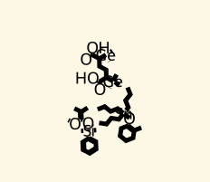 CCC[CH2][Sn]([CH2]CCC)([CH2]CCC)[O]C1=C(C)CCCC1.COC(O[Si](C)(C)c1ccccc1)=C(C)C.[CH3][Ge]([CH3])([CH3])[CH](CC[CH](C(=O)O)[Ge]([CH3])([CH3])[CH3])C(=O)O